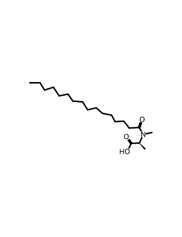 CCCCCCCCCCCCCCCC(=O)N(C)[C@@H](C)C(=O)O